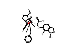 CO[C@@H]1CC[C@@]23CC[C@@H](C)[C@](C)([C@H](C(Oc4ccc5c(c4F)B(O)OC5)C(=O)O)C[C@](C)(Cc4ccccc4)C(=O)[C@@H]2C)[C@@H]13